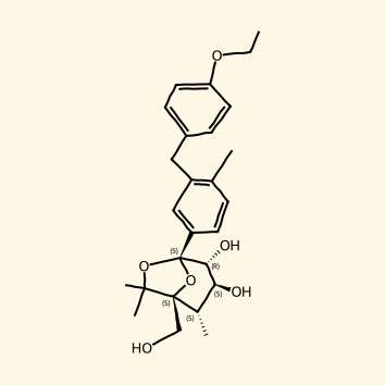 CCOc1ccc(Cc2cc([C@]34OC(C)(C)[C@](CO)(O3)[C@@H](C)[C@H](O)[C@H]4O)ccc2C)cc1